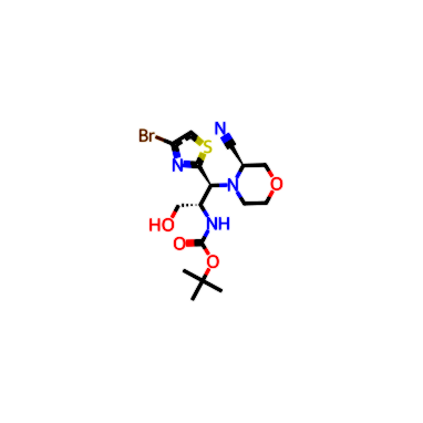 CC(C)(C)OC(=O)N[C@H](CO)[C@@H](c1nc(Br)cs1)N1CCOC[C@@H]1C#N